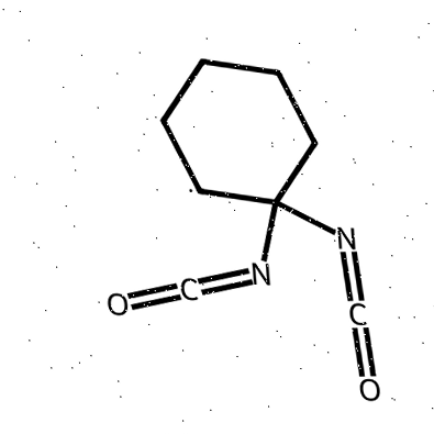 O=C=NC1(N=C=O)[CH]CCCC1